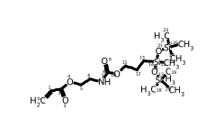 C=CC(=O)OCCNC(=O)OCCC[Si](C)(O[Si](C)(C)C)O[Si](C)(C)C